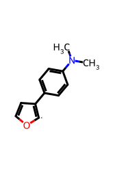 CN(C)c1ccc(-c2[c]occ2)cc1